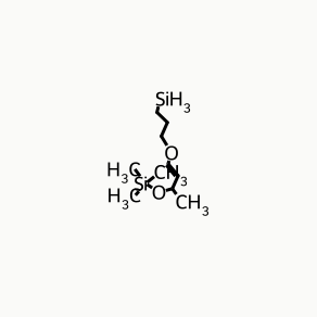 CC(C=COCCC[SiH3])O[Si](C)(C)C